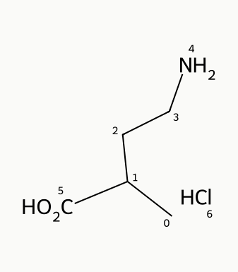 CC(CCN)C(=O)O.Cl